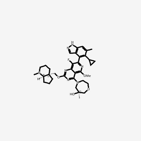 COc1nc(-c2c(C3CC3)c(C)cc3[nH]ncc23)c(F)c2nc(OC[C@]34CCC[C@H]3N(C)CCC4)nc(N3CCOC[C@@](C)(O)C3)c12